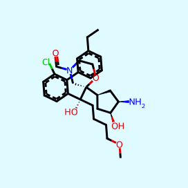 CCc1cccc(-c2c(Cl)cccc2[C@](O)(CCCCOC)[C@@]2([C@H]3C[C@@H](N)[C@@H](O)C3)CN(C=O)CCO2)c1